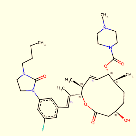 CCCCN1CCN(c2cc(F)cc(/C=C(\C)[C@H]3OC(=O)C[C@H](O)CC[C@H](C)[C@@H](OC(=O)N4CCN(C)CC4)/C=C/[C@@H]3C)c2)C1=O